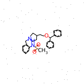 CS(=O)(=O)Nc1ccccc1CN1CCC(CCOC(c2ccccc2)c2ccccc2)CC1